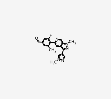 Cc1cc(C=O)cc(F)c1-c1cc2c(-c3cnn(C)c3)nn(C)c2cn1